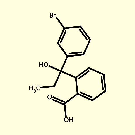 CCC(O)(c1cccc(Br)c1)c1ccccc1C(=O)O